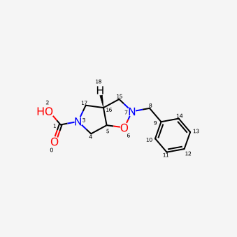 O=C(O)N1CC2ON(Cc3ccccc3)C[C@H]2C1